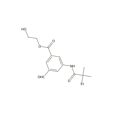 CCC(C)(C)C(=O)Nc1cc(C=O)cc(C(=O)OCCO)c1